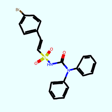 O=C(NS(=O)(=O)C=Cc1ccc(Br)cc1)N(c1ccccc1)c1ccccc1